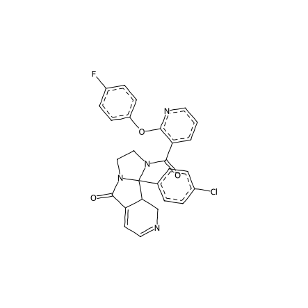 O=C1C2=CC=NCC2C2(c3ccc(Cl)cc3)N1CCN2C(=O)c1cccnc1Oc1ccc(F)cc1